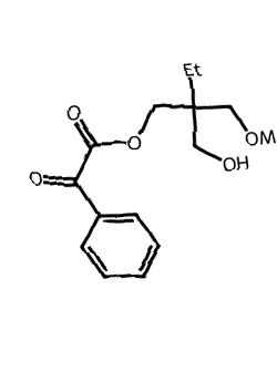 CCC(CO)(COC)COC(=O)C(=O)c1ccccc1